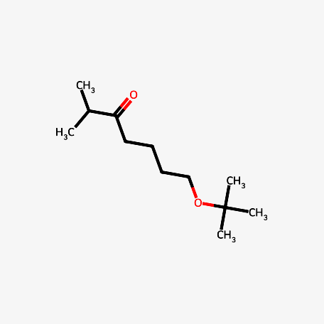 CC(C)C(=O)CCCCOC(C)(C)C